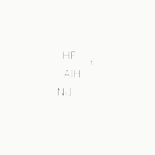 F.[AlH3].[Nd].[Y]